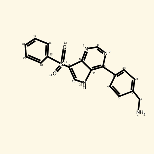 NCc1ccc(-c2ncnc3c(S(=O)(=O)c4ccccc4)c[nH]c23)cc1